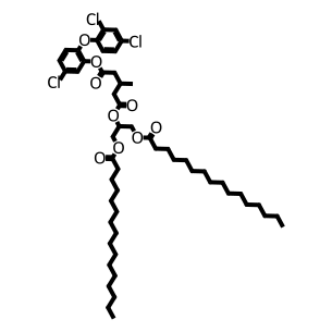 CCCCCCCCCCCCCCCC(=O)OCC(COC(=O)CCCCCCCCCCCCCCC)OC(=O)CC(C)CC(=O)Oc1cc(Cl)ccc1Oc1ccc(Cl)cc1Cl